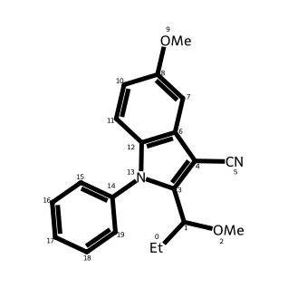 CCC(OC)c1c(C#N)c2cc(OC)ccc2n1-c1ccccc1